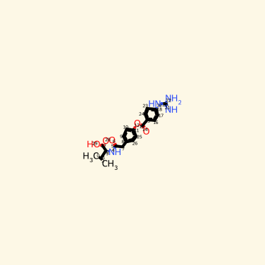 CC(C)[C@H](NC(=O)Cc1ccc(OC(=O)c2ccc(NC(=N)N)cc2)cc1)C(=O)O